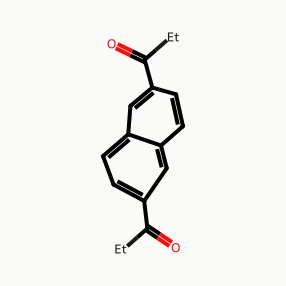 CCC(=O)c1ccc2cc(C(=O)CC)ccc2c1